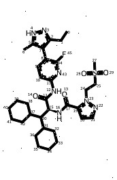 CCc1n[nH]c(C)c1-c1ccc(NC(=O)[C@@H](NC(=O)c2ccnn2CCS(C)(=O)=O)C(C2CCCCC2)C2CCCCC2)nc1F